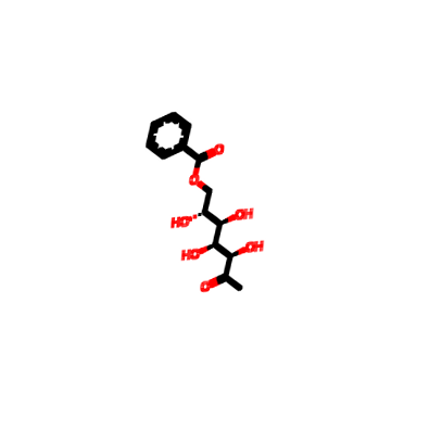 CC(=O)[C@H](O)[C@@H](O)[C@H](O)[C@H](O)COC(=O)c1ccccc1